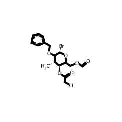 C[C@@H]1C(OCc2ccccc2)[C@H](Br)OC(COC=O)[C@H]1OC(=O)CCl